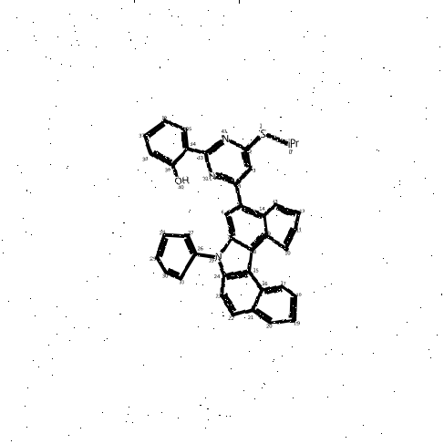 CC(C)Sc1cc(-c2cc3c(c4ccccc24)c2c4ccccc4ccc2n3-c2ccccc2)nc(-c2ccccc2O)n1